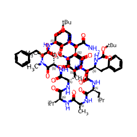 CC(C)C[C@H](NC(=O)CNC(=O)[C@H](Cc1ccccc1)N(C)C(=O)[C@H](C)NC(=O)[C@H](Cc1ccccc1)NC(=O)OC(C)(C)C)C(=O)N[C@@H](C)C(=O)N[C@H](C(=O)N[C@@H](Cc1ccccc1)C(=O)N[C@@H](CC(=O)SCc1ccccc1)C(=O)N(C)[C@@H](C)C(=O)N[C@@H](COC(C)(C)C)C(=O)NCC(N)=O)C(C)C